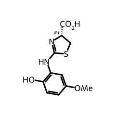 COc1ccc(O)c(NC2=N[C@H](C(=O)O)CS2)c1